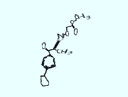 CCOC(=O)CO/N=C(\C)C(=O)c1ccc(C2CCCCC2)cc1